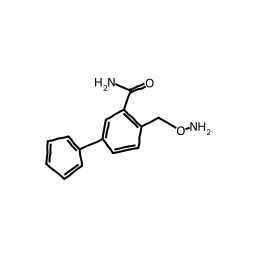 NOCc1ccc(-c2ccccc2)cc1C(N)=O